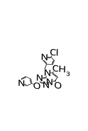 Cc1cc(=O)n2nc(Oc3cccnc3)nc2n1Cc1ccc(Cl)nc1